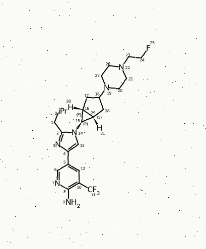 CC(C)Cc1nc(-c2cnc(N)c(C(F)(F)F)c2)cn1[C@H]1[C@@H]2CC(N3CCN(CCF)CC3)C[C@@H]21